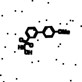 COc1ccc(-c2cccc(S(=O)(=O)NO)c2)cc1